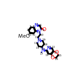 COc1ccc2ncc(=O)n(CCN3CCC(N(C)c4cc5c(cn4)OCCO5)CC3)c2c1